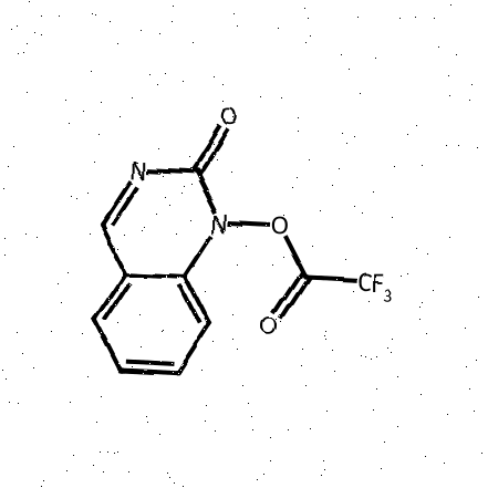 O=C(On1c(=O)ncc2ccccc21)C(F)(F)F